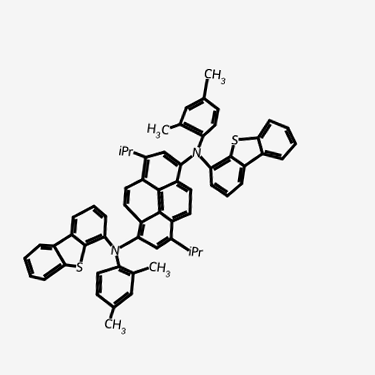 Cc1ccc(N(c2cc(C(C)C)c3ccc4c(N(c5ccc(C)cc5C)c5cccc6c5sc5ccccc56)cc(C(C)C)c5ccc2c3c54)c2cccc3c2sc2ccccc23)c(C)c1